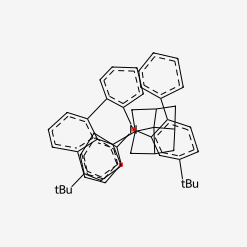 CC(C)(C)c1ccc(N(c2cc(C(C)(C)C)ccc2-c2ccccc2)c2ccccc2-c2cccc3cccc(C45CC6CC7CC(C4)C765)c23)cc1